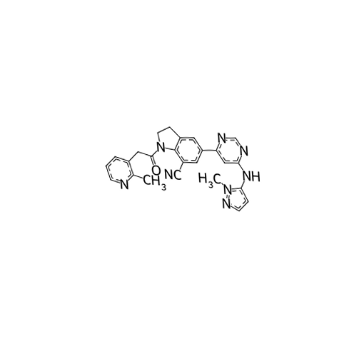 Cc1ncccc1CC(=O)N1CCc2cc(-c3cc(Nc4ccnn4C)ncn3)cc(C#N)c21